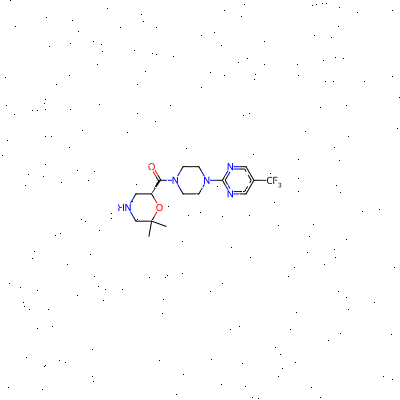 CC1(C)CNC[C@@H](C(=O)N2CCN(c3ncc(C(F)(F)F)cn3)CC2)O1